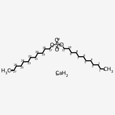 CCCCCCCCCCCCOS(=O)(=O)OCCCCCCCCCCCC.[CaH2]